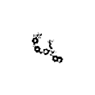 CCCCN(C(=O)Nc1ccc2ncccc2c1)C1CCN(Cc2ccc(Oc3ccc(NS(C)(=O)=O)cc3)cc2)CC1.Cl.Cl